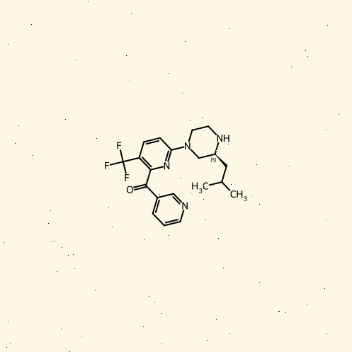 CC(C)C[C@H]1CN(c2ccc(C(F)(F)F)c(C(=O)c3cccnc3)n2)CCN1